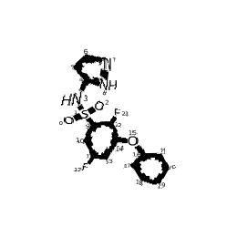 O=S(=O)(Nc1ccn[nH]1)c1cc(F)cc(Oc2ccccc2)c1F